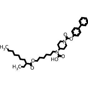 CCCCCCCC(CC)C(=O)OCCCCCCN(C(=O)O)C1CCN(C(=O)Oc2ccc(-c3ccccc3)cc2)CC1